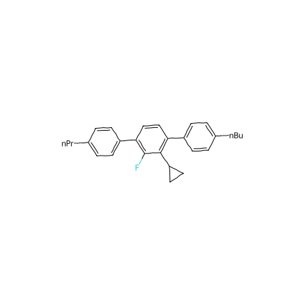 CCCCc1ccc(-c2ccc(-c3ccc(CCC)cc3)c(F)c2C2CC2)cc1